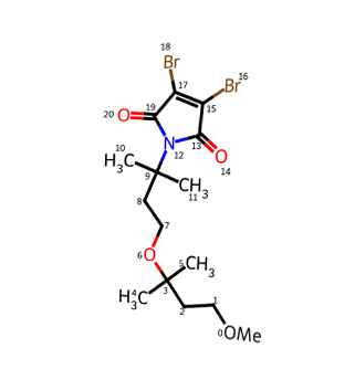 COCCC(C)(C)OCCC(C)(C)N1C(=O)C(Br)=C(Br)C1=O